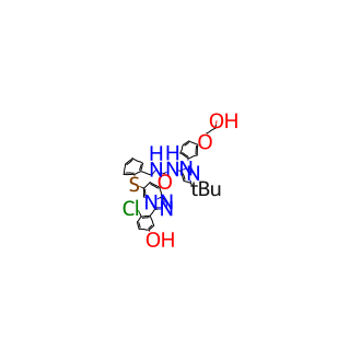 CC(C)(C)c1cc(NC(=O)NCc2ccccc2Sc2ccc3nnc(-c4cc(O)ccc4Cl)n3c2)n(-c2cccc(OCCO)c2)n1